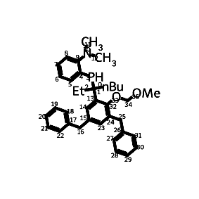 CCCCC(CC)(Pc1ccccc1N(C)C)c1cc(Cc2ccccc2)cc(Cc2ccccc2)c1OCOC